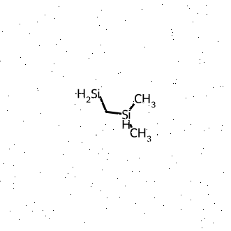 C[SiH](C)C[SiH2]